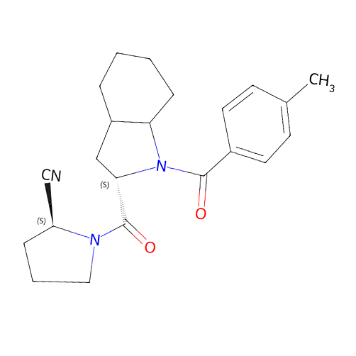 Cc1ccc(C(=O)N2C3CCCCC3C[C@H]2C(=O)N2CCC[C@H]2C#N)cc1